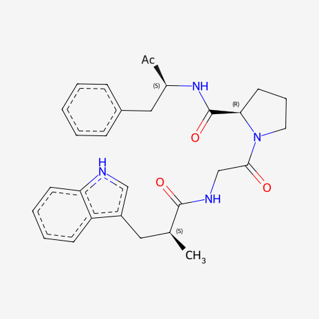 CC(=O)[C@H](Cc1ccccc1)NC(=O)[C@H]1CCCN1C(=O)CNC(=O)[C@@H](C)Cc1c[nH]c2ccccc12